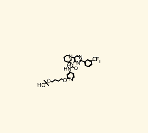 CC(C)(O)OCCCCOc1cc(NC(=O)N2c3nc(-c4cccc(C(F)(F)F)c4)ncc3N3CCC[C@H]2C3)ccn1